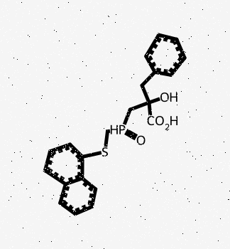 O=C(O)C(O)(Cc1ccccc1)C[PH](=O)CSc1cccc2ccccc12